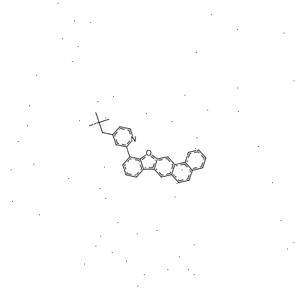 CC(C)(C)Cc1ccnc(-c2cccc3c2oc2cc4c(ccc5ccccc54)cc23)c1